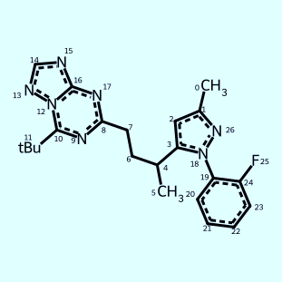 Cc1cc(C(C)CCc2nc(C(C)(C)C)n3ncnc3n2)n(-c2ccccc2F)n1